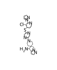 N[C@@H]1c2ccnn2CC12CCN(c1cnc(Sc3ccnc(-n4cccn4)c3Cl)cn1)CC2